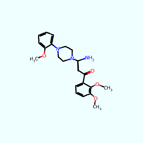 COc1ccccc1N1CCN(C(N)CC(=O)c2cccc(OC)c2OC)CC1